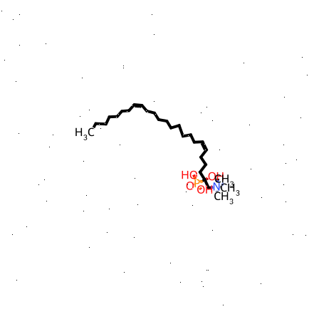 CCCCCCC/C=C\CCCCCCCCC/C=C\CCCC(O)(C[N+](C)(C)C)P(=O)(O)O